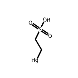 O=S(=O)(O)C[CH2][Hg]